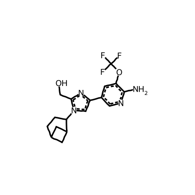 Nc1ncc(-c2cn(C3CCC4CC3C4)c(CO)n2)cc1OC(F)(F)F